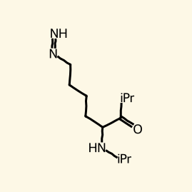 CC(C)NC(CCCCN=N)C(=O)C(C)C